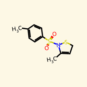 CC1=CCSN1S(=O)(=O)c1ccc(C)cc1